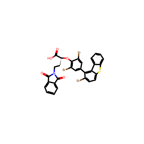 O=C(O)[C@@H](CCN1C(=O)c2ccccc2C1=O)Oc1c(Br)cc(-c2c(Br)ccc3sc4ccccc4c23)cc1Br